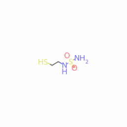 NS(=O)(=O)NCCS